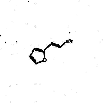 CCCC=Cc1ccco1